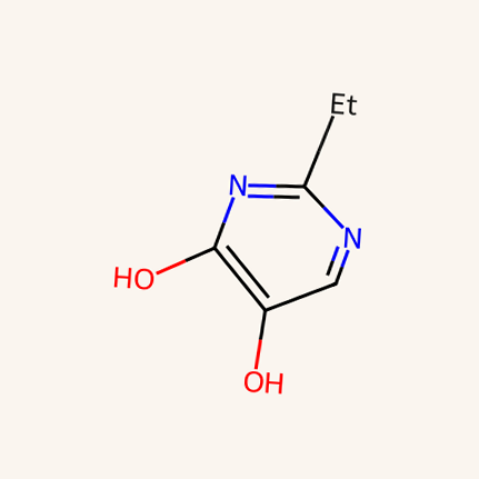 CCc1ncc(O)c(O)n1